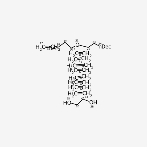 C=C.C=C.C=C.C=C.C=C.C=C.C=C.C=C.C=C.CCCCCCCCCCCCOCCCCCCCCCCCC.OCCO